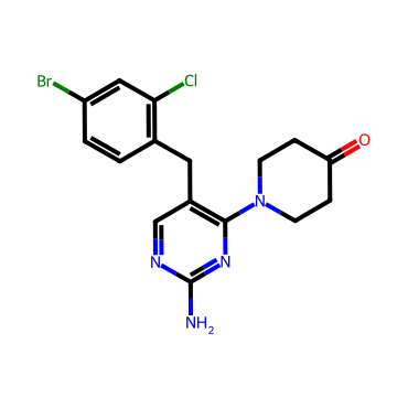 Nc1ncc(Cc2ccc(Br)cc2Cl)c(N2CCC(=O)CC2)n1